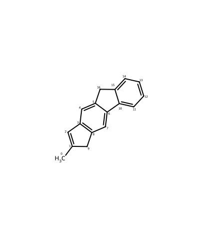 CC1=Cc2cc3c(cc2C1)-c1ccccc1C3